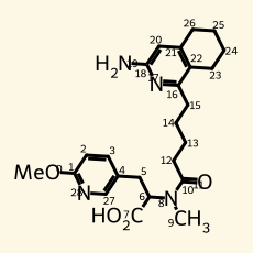 COc1ccc(CC(C(=O)O)N(C)C(=O)CCCCc2nc(N)cc3c2CCCC3)cn1